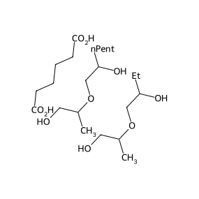 CCC(O)COC(C)CO.CCCCCC(O)COC(C)CO.O=C(O)CCCCC(=O)O